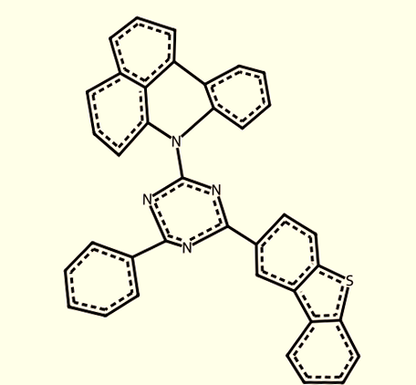 c1ccc(-c2nc(-c3ccc4sc5ccccc5c4c3)nc(N3c4ccccc4-c4cccc5cccc3c45)n2)cc1